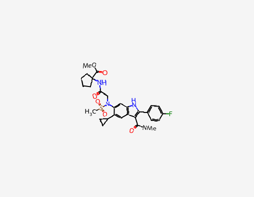 CNC(=O)c1c(-c2ccc(F)cc2)[nH]c2cc(N(CC(=O)NC3(C(=O)OC)CCCC3)S(C)(=O)=O)c(C3CC3)cc12